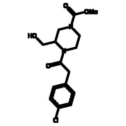 COC(=O)N1CCN(C(=O)Cc2ccc(Cl)cc2)C(CO)C1